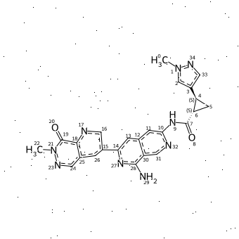 Cn1cc([C@H]2C[C@@H]2C(=O)Nc2cc3cc(-c4cnc5c(=O)n(C)ncc5c4)nc(N)c3cn2)cn1